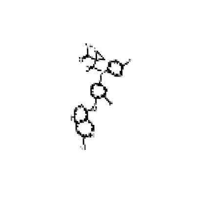 NC(=O)C1(C(=O)N(c2ccc(F)cc2)c2ccc(Oc3ccnc4cc(Cl)ncc34)c(F)c2)CC1